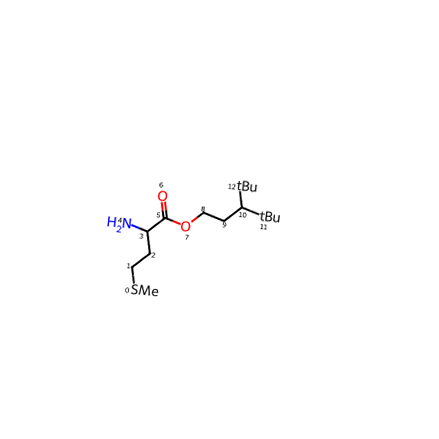 CSCCC(N)C(=O)OCCC(C(C)(C)C)C(C)(C)C